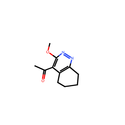 COc1nnc2c(c1C(C)=O)CCCC2